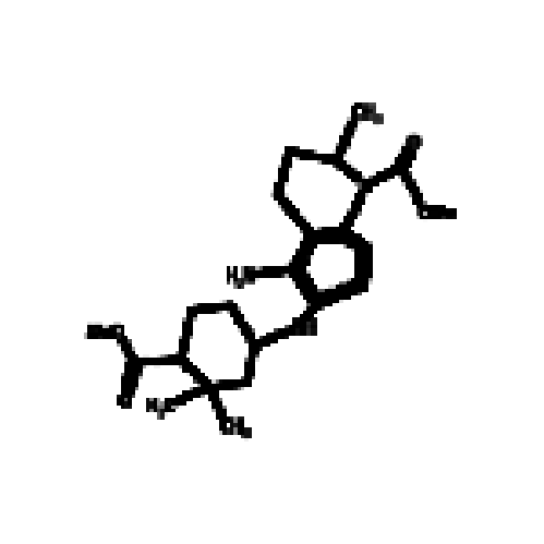 COC(=O)C1CCC(Nc2ccc3c(c2N)CCC(C)N3C(=O)OC)CC1(C)C